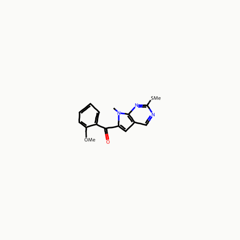 COc1ccccc1C(=O)c1cc2cnc(SC)nc2n1C